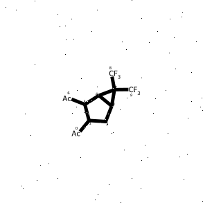 CC(=O)C1CC2C(C1C(C)=O)C2(C(F)(F)F)C(F)(F)F